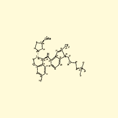 CO[C@@H]1CCN([C@H]2COc3cc(F)ccc3[C@@H]2Nc2cccc3c2cc(C(F)(F)F)n3COCC[Si](C)(C)C)C1